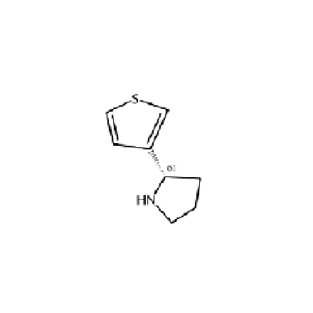 c1cc([C@@H]2CCCN2)cs1